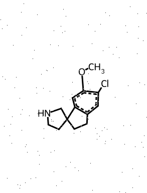 COc1cc2c(cc1Cl)CCC21CCNC1